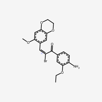 CCOc1cc(C(=O)/C(Br)=C\c2cc3c(cc2OC)OCCO3)ccc1N